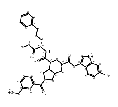 CNC(=O)[C@H](CCCc1ccccc1)NC(=O)C1CN(C(=O)Cc2c[nH]c3cc(Cl)ccc23)CC2CN(C(=O)c3cccc(CO)n3)CC21